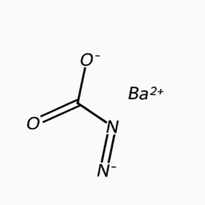 [Ba+2].[N-]=NC(=O)[O-]